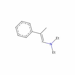 CCN(/[C]=C(\C)c1ccccc1)CC